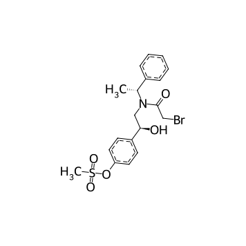 C[C@H](c1ccccc1)N(C[C@@H](O)c1ccc(OS(C)(=O)=O)cc1)C(=O)CBr